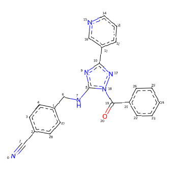 N#Cc1ccc(CNc2nc(-c3cccnc3)nn2C(=O)c2ccccc2)cc1